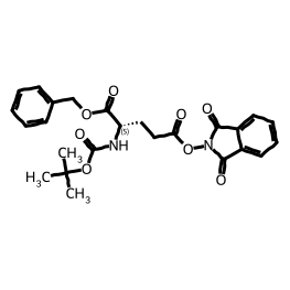 CC(C)(C)OC(=O)N[C@@H](CCC(=O)ON1C(=O)c2ccccc2C1=O)C(=O)OCc1ccccc1